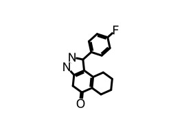 O=C1CC2=C(C3=C1CCCC3)C(c1ccc(F)cc1)N=N2